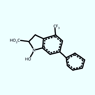 O=C(O)C1Cc2c(cc(-c3ccccc3)cc2C(F)(F)F)N1O